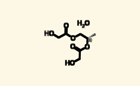 C[C@@H](COC(=O)CO)OC(=O)CO.O